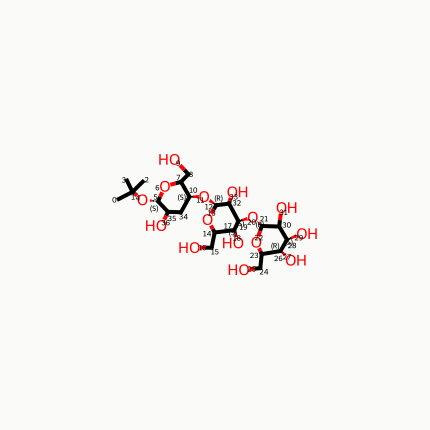 CC(C)(C)O[C@@H]1OC(CO)[C@@H](O[C@@H]2OC(CO)[C@H](O)[C@H](O[C@H]3OC(CO)[C@H](O)[C@H](O)C3O)C2O)CC1O